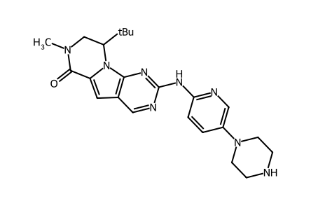 CN1CC(C(C)(C)C)n2c(cc3cnc(Nc4ccc(N5CCNCC5)cn4)nc32)C1=O